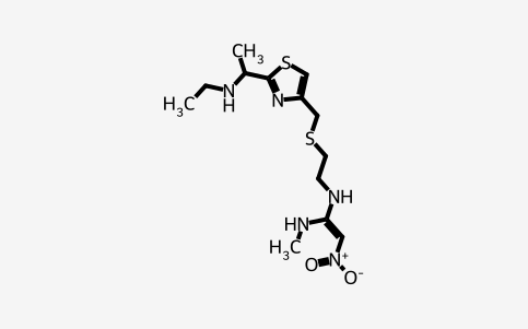 CCNC(C)c1nc(CSCCNC(=C[N+](=O)[O-])NC)cs1